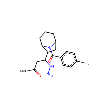 COC(=O)CC(NN)C1CC2CCCC1N2C(=O)c1ccc(C(F)(F)F)cc1